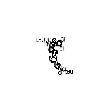 CCOC(=O)C(Nc1ccc2c(c1)CCN2c1nccc(N2CCN(C(=O)OC(C)(C)C)CC2)n1)S(=O)(=O)c1cc(Cl)cc(Cl)c1